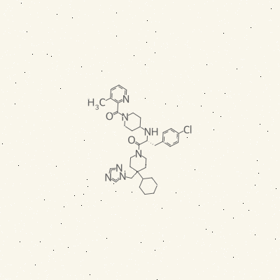 Cc1cccnc1C(=O)N1CCC(N[C@H](Cc2ccc(Cl)cc2)C(=O)N2CCC(Cn3cncn3)(C3CCCCC3)CC2)CC1